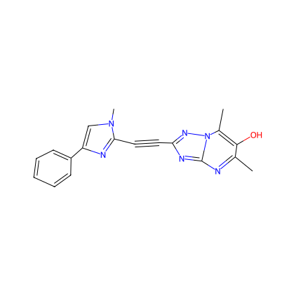 Cc1nc2nc(C#Cc3nc(-c4ccccc4)cn3C)nn2c(C)c1O